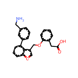 NCc1cccc(-c2cccc3occ(COc4ccccc4CC(=O)O)c23)c1